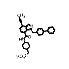 CC#Cc1ccc(C(=O)NC2CCC(CC(=O)O)CC2)c2c1cnn2Cc1ccc(-c2ccccc2)cc1